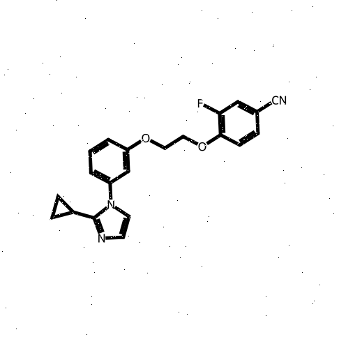 N#Cc1ccc(OCCOc2cccc(-n3ccnc3C3CC3)c2)c(F)c1